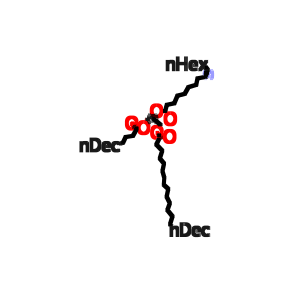 CCCCCC/C=C\CCCCCCCC(=O)O[C@@H](COC(=O)CCCCCCCCCCCCC)COC(=O)CCCCCCCCCCCCCCCCCCCCCCC